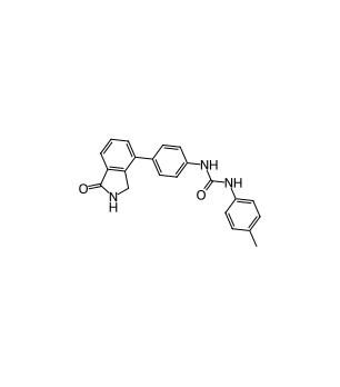 Cc1ccc(NC(=O)Nc2ccc(-c3cccc4c3CNC4=O)cc2)cc1